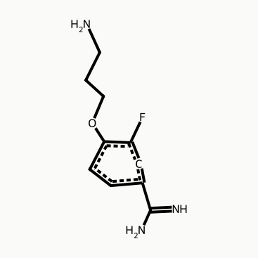 N=C(N)c1ccc(OCCCN)c(F)c1